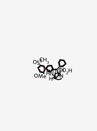 COc1ccc([S+](C)[O-])cc1CN[C@H]1[C@H]2CCN(C(C(=O)O)C2)[C@H]1C(c1ccccc1)c1ccccc1